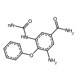 CCCC(=O)Nc1cc(C(N)=O)cc(N)c1Oc1ccccc1